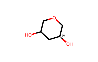 OC1COC[C@@H](O)C1